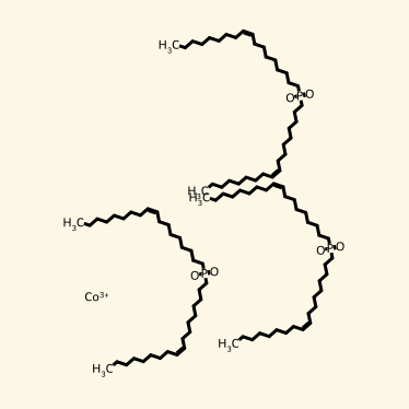 CCCCCCCC/C=C\CCCCCCCCP(=O)([O-])CCCCCCCC/C=C\CCCCCCCC.CCCCCCCC/C=C\CCCCCCCCP(=O)([O-])CCCCCCCC/C=C\CCCCCCCC.CCCCCCCC/C=C\CCCCCCCCP(=O)([O-])CCCCCCCC/C=C\CCCCCCCC.[Co+3]